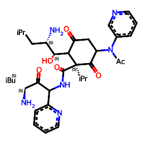 CC[C@H](C)[C@H](N)C(=O)C(NC(=O)[C@]1(C(C)C)C(=O)C(N(C(C)=O)c2cccnc2)CC(=O)C1[C@H](O)[C@@H](N)CC(C)C)c1ccccn1